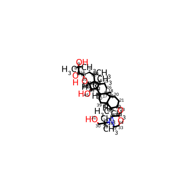 C[C@@H]1C[C@H]([C@H](O)C(C)(C)O)O[C@H]2C1[C@@]1(C)CC[C@@]34C[C@@]35CC[C@H](OC3CN(C(C)(C)CO)CCO3)C(C)(C)[C@@H]5CC[C@H]4[C@]1(C)[C@H]2O